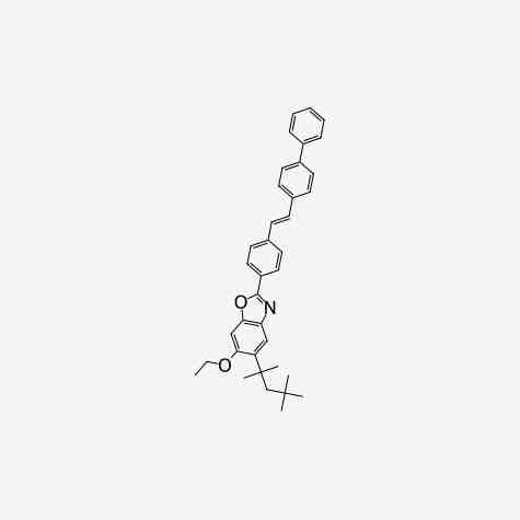 CCOc1cc2oc(-c3ccc(C=Cc4ccc(-c5ccccc5)cc4)cc3)nc2cc1C(C)(C)CC(C)(C)C